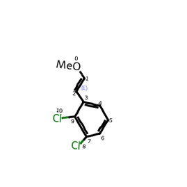 CO/C=C/c1cccc(Cl)c1Cl